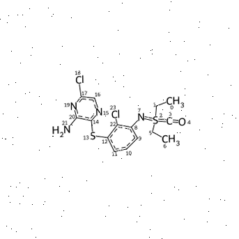 CCS(=C=O)(CC)=Nc1cccc(Sc2ncc(Cl)nc2N)c1Cl